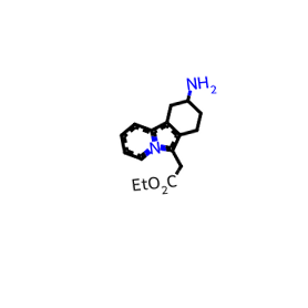 CCOC(=O)Cc1c2c(c3ccccn13)CC(N)CC2